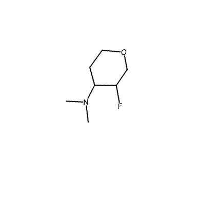 CN(C)C1CCOCC1F